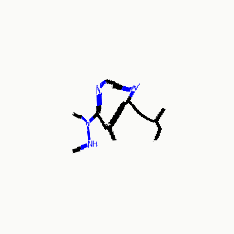 CNN(C)c1ncnc(C(C)C)c1C